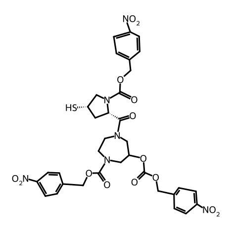 O=C(OCc1ccc([N+](=O)[O-])cc1)OC1CN(C(=O)OCc2ccc([N+](=O)[O-])cc2)CCN(C(=O)[C@@H]2C[C@H](S)CN2C(=O)OCc2ccc([N+](=O)[O-])cc2)C1